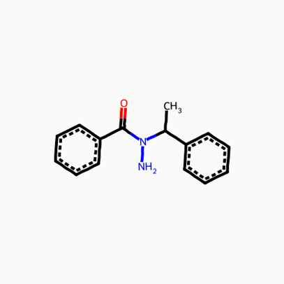 CC(c1ccccc1)N(N)C(=O)c1ccccc1